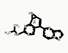 CC(C)Nc1ncc2c(n1)C1N[C@H]1C=C2c1ccn2nccc2n1